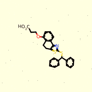 O=C(O)CCOc1cccc2c1CCc1sc(SC(c3ccccc3)c3ccccc3)nc1-2